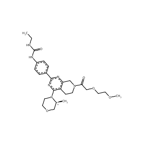 CCNC(=O)Nc1ccc(-c2nc3c(c(N4CCOC[C@@H]4C)n2)CCN(C(=O)COCCOC)C3)cc1